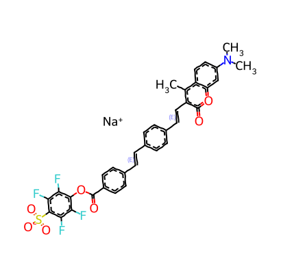 Cc1c(/C=C/c2ccc(/C=C/c3ccc(C(=O)Oc4c(F)c(F)c(S(=O)(=O)[O-])c(F)c4F)cc3)cc2)c(=O)oc2cc(N(C)C)ccc12.[Na+]